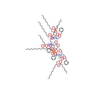 CCCCCCCCCCC[C@@H](CCN[C@@H]1[C@@H](OC[C@@H](COCc2ccccc2)NC(=O)C[C@@H](CCCCCCCCCCC)OC(=O)CCCCCC)O[C@H](COC[C@@H](COCc2ccccc2)NC(=O)C[C@@H](CCCCCCCCCCC)OC(=O)CCCCCC)[C@@H](OP(=O)(Oc2ccccc2)Oc2ccccc2)[C@@H]1OC(=O)C[C@@H](CCCCCCCCCCC)OC(=O)CCCCCC)OC(=O)CCCCCC